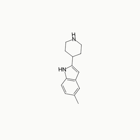 Cc1ccc2[nH]c(C3CCNCC3)cc2c1